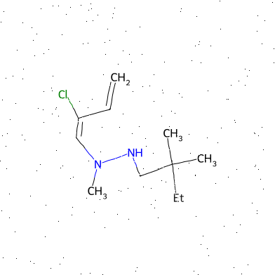 C=C/C(Cl)=C\N(C)NCC(C)(C)CC